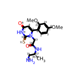 COc1ccc(-c2cc(=O)[nH]c(=S)n2CC(=O)N[C@H](C)CN)c(OC)c1